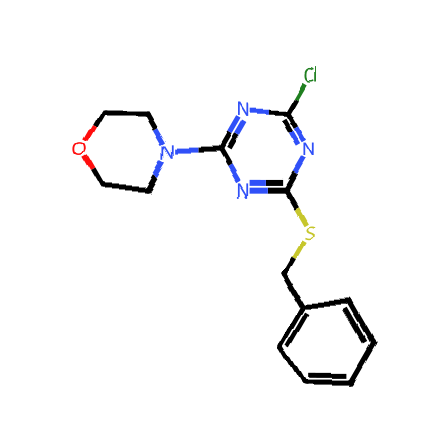 Clc1nc(SCc2ccccc2)nc(N2CCOCC2)n1